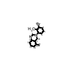 Cc1c(Br)cccc1N1C=Nc2cccc(F)c2C1